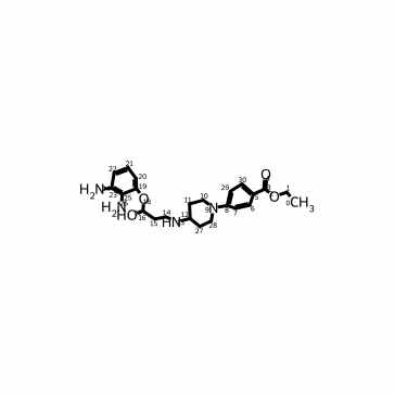 CCOC(=O)c1ccc(N2CCC(NCCC(O)Oc3cccc(N)c3N)CC2)cc1